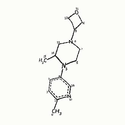 Cc1ccc(N2CCN(C3COC3)CC2C)cn1